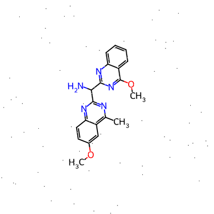 COc1ccc2nc(C(N)c3nc(OC)c4ccccc4n3)nc(C)c2c1